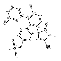 CN1C(=O)C(c2cccc(OS(C)(=O)=O)c2)(c2ccc(F)c(-c3cccc(Cl)c3)c2)N=C1N